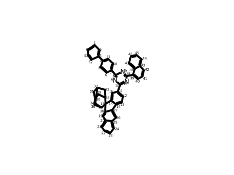 c1ccc(-c2ccc(-c3nc(-c4ccc5c(c4)C4(c6cc7ccccc7cc6-5)C5CC6CC(C5)CC4C6)nc(-c4cccc5ccccc45)n3)cc2)cc1